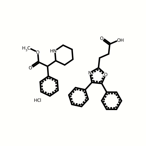 COC(=O)C(c1ccccc1)C1CCCCN1.Cl.O=C(O)CCc1nc(-c2ccccc2)c(-c2ccccc2)o1